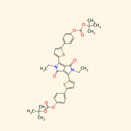 CCN1C(=O)C2=C(c3ccc(-c4ccc(OC(=O)OC(C)(C)C)cc4)s3)N(CC)C(=O)C2=C1c1ccc(-c2ccc(OC(=O)OC(C)(C)C)cc2)s1